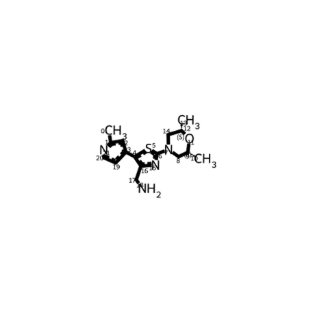 Cc1cc(-c2sc(N3C[C@@H](C)O[C@@H](C)C3)nc2CN)ccn1